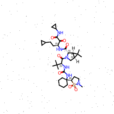 CN1CC[C@H](C2(NC(=O)N[C@H](C(=O)N3C[C@H]4[C@@H]([C@H]3C(=O)N[C@@H](CCC3CC3)C(=O)C(=O)NC3CC3)C4(C)C)C(C)(C)C)CCCCC2)S1(=O)=O